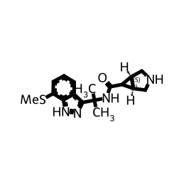 CSc1cccc2c(C(C)(C)NC(=O)C3[C@H]4CNC[C@@H]34)n[nH]c12